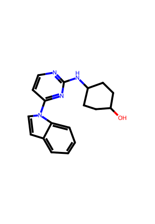 OC1CCC(Nc2nccc(-n3ccc4ccccc43)n2)CC1